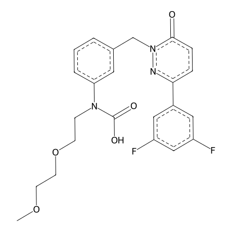 COCCOCCN(C(=O)O)c1cccc(Cn2nc(-c3cc(F)cc(F)c3)ccc2=O)c1